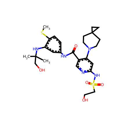 CSc1ccc(NC(=O)c2cnc(NS(=O)(=O)CCO)cc2N2CCC3(CC2)CC3)cc1NC(C)(C)CO